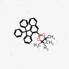 CC1(C)OB(c2cc3ccccc3c3c2-c2ccccc2C3(c2ccccc2)c2ccccc2)OC1(C)C